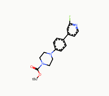 CC(C)(C)OC(=O)N1CCN(c2ccc(-c3ccnc(F)c3)cc2)CC1